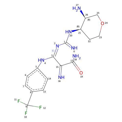 N=C(/N=C(/Nc1ccc(C(F)(F)F)cc1)C(=N)C(N)=O)N[C@@H]1CCOC[C@@H]1N